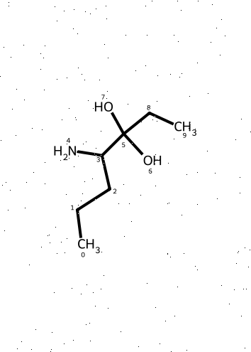 CCCC(N)C(O)(O)CC